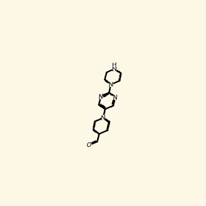 O=CC1CCN(c2cnc(N3CCNCC3)nc2)CC1